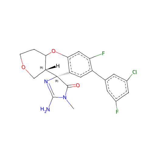 CN1C(=O)[C@]2(N=C1N)c1cc(-c3cc(F)cc(Cl)c3)c(F)cc1OC1CCOC[C@H]12